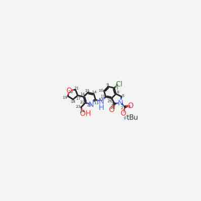 CC(C)(C)OC(=O)N1Cc2c(Cl)ccc(Nc3ccc(C4CCOC4)c(CO)n3)c2C1=O